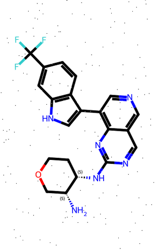 N[C@@H]1COCC[C@@H]1Nc1ncc2cncc(-c3c[nH]c4cc(C(F)(F)F)ccc34)c2n1